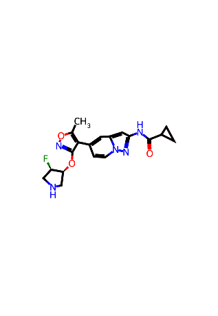 Cc1onc(O[C@H]2CNC[C@H]2F)c1-c1ccn2nc(NC(=O)C3CC3)cc2c1